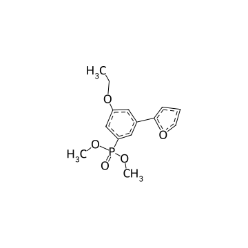 CCOc1cc(-c2ccco2)cc(P(=O)(OC)OC)c1